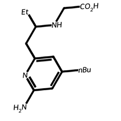 CCCCc1cc(N)nc(CC(CC)NCC(=O)O)c1